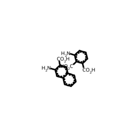 Nc1cc2ccccc2cc1C(=O)O.Nc1cccc(C(=O)O)c1C(=O)O